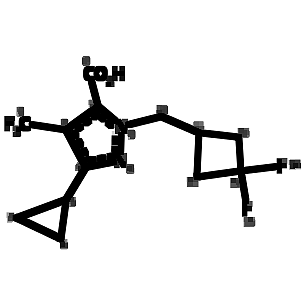 O=C(O)c1c(C(F)(F)F)c(C2CC2)nn1CC1CC(F)(F)C1